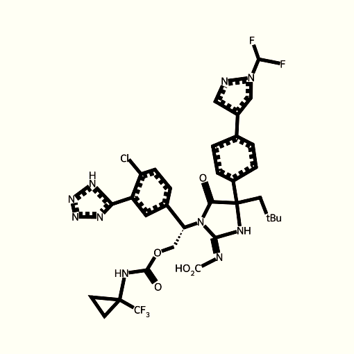 CC(C)(C)CC1(c2ccc(-c3cnn(C(F)F)c3)cc2)NC(=NC(=O)O)N([C@H](COC(=O)NC2(C(F)(F)F)CC2)c2ccc(Cl)c(-c3nnn[nH]3)c2)C1=O